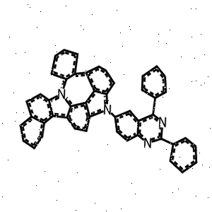 c1ccc(-c2nc(-c3ccccc3)c3cc(-n4c5cccc6c7ccccc7n7c8ccc9ccccc9c8c8ccc4c(c65)c87)ccc3n2)cc1